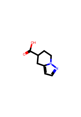 O=C(O)C1CCn2nccc2C1